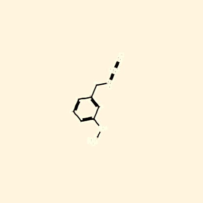 COc1cccc(CN=[N+]=[N-])c1